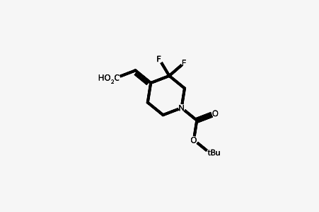 CC(C)(C)OC(=O)N1CC/C(=C\C(=O)O)C(F)(F)C1